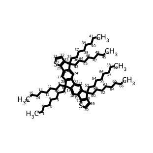 CCCCCCCCC1(CCCCCCCC)c2cc3c(cc2-c2cc4c(cc21)-c1sccc1C4(CCCCCCCC)CCCCCCCC)C(CCCCCCCC)(CCCCCCCC)c1ccsc1-3